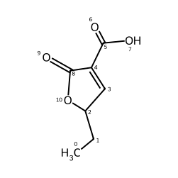 CCC1C=C(C(=O)O)C(=O)O1